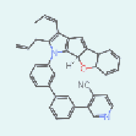 C=CCc1c(/C=C\C)c2c(n1-c1cccc(-c3cccc(-c4cnccc4C#N)c3)c1)[C@@H]1OC3C=CC=CC3C1=C2